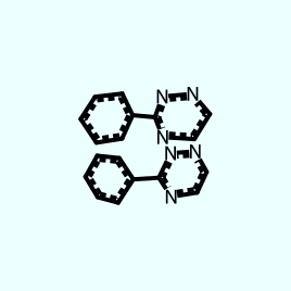 c1ccc(-c2nccnn2)cc1.c1ccc(-c2nccnn2)cc1